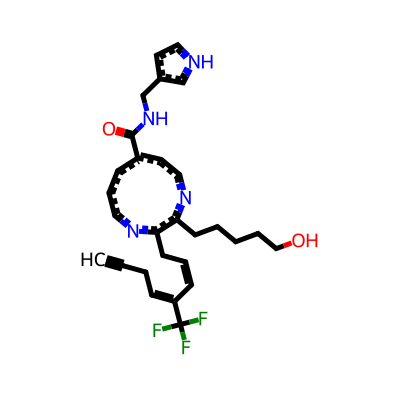 C#CC/C=C(\C=C/Cc1ncccc(C(=O)NCc2cc[nH]c2)ccnc1CCCCCO)C(F)(F)F